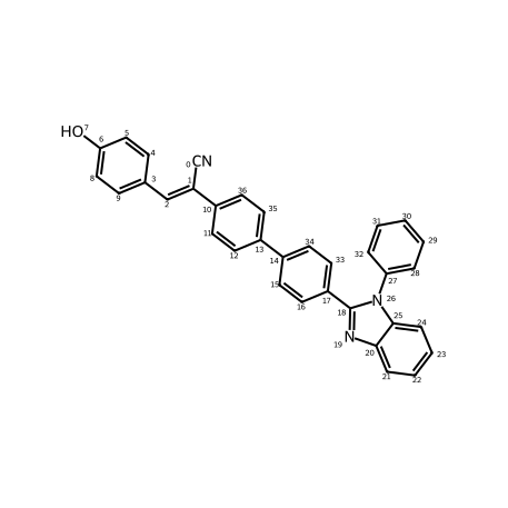 N#C/C(=C\c1ccc(O)cc1)c1ccc(-c2ccc(-c3nc4ccccc4n3-c3ccccc3)cc2)cc1